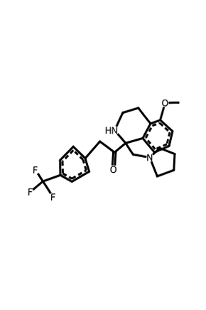 COc1cccc2c1CCNC2(CN1CCCC1)C(=O)Cc1ccc(C(F)(F)F)cc1